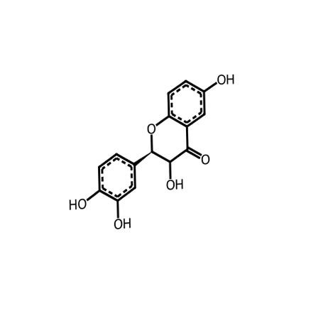 O=C1c2cc(O)ccc2O[C@H](c2ccc(O)c(O)c2)C1O